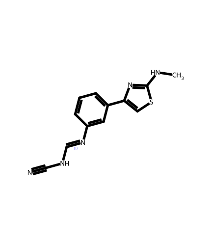 CNc1nc(-c2cccc(/N=C/NC#N)c2)cs1